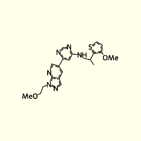 COCCn1ncc2cc(-c3cc(NCC(C)c4sccc4OC)ncn3)cnc21